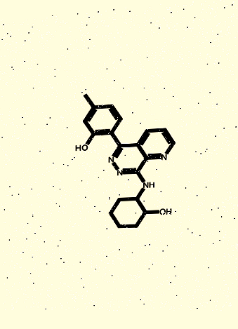 Cc1ccc(-c2nnc(NC3CCCCC3O)c3ncccc23)c(O)c1